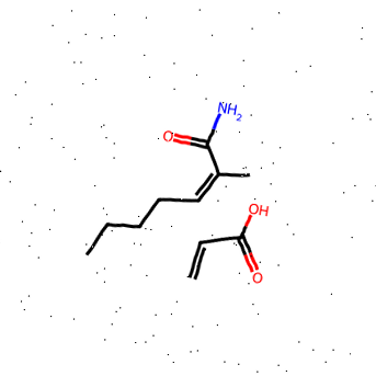 C=CC(=O)O.CCCCC=C(C)C(N)=O